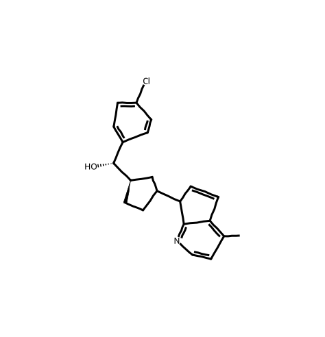 Cc1ccnc2c1C=CC2C1CC[C@@H]([C@H](O)c2ccc(Cl)cc2)C1